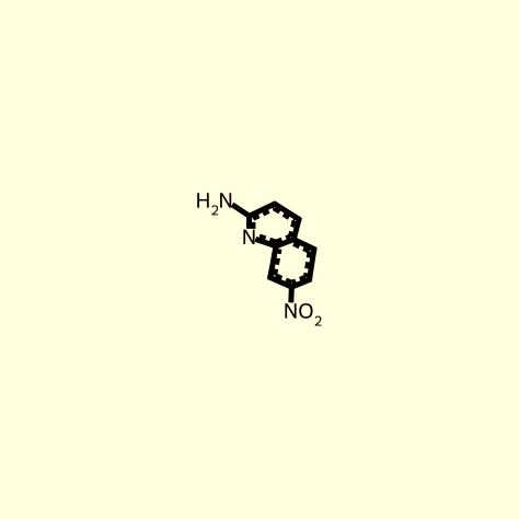 Nc1ccc2ccc([N+](=O)[O-])cc2n1